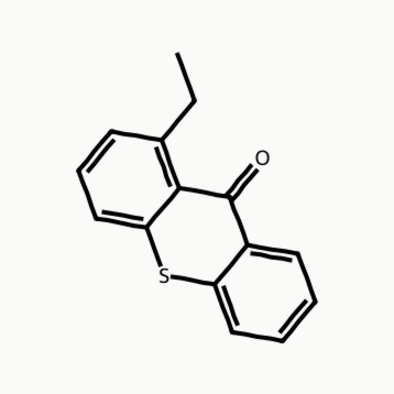 CCc1cccc2sc3ccccc3c(=O)c12